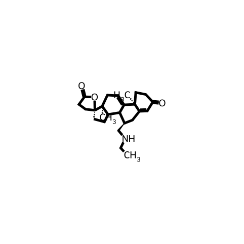 CCNC[C@@H]1CC2=CC(=O)CC[C@]2(C)C2=CC[C@@]3(C)C(CC[C@@]34CCC(=O)O4)C21